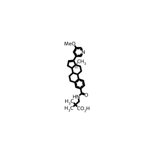 COc1cncc(C2=CCC3C4CCc5cc(C(=O)NCC(C)(C)C(=O)O)ccc5C4CC[C@]23C)c1